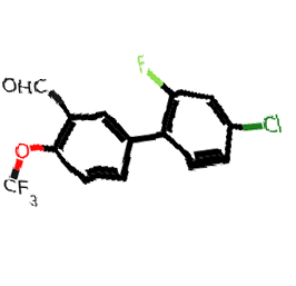 O=Cc1cc(-c2ccc(Cl)cc2F)ccc1OC(F)(F)F